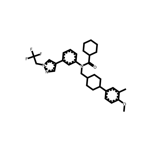 COc1ccc(C2CCC(CN(C(=O)C3CCCCC3)c3cccc(-c4cnn(CC(F)(F)F)c4)c3)CC2)cc1C